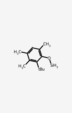 Cc1[c]c(C)c(O[SiH3])c(C(C)(C)C)c1C